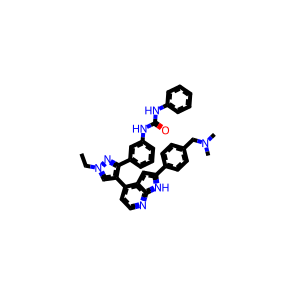 CCn1cc(-c2ccnc3[nH]c(-c4ccc(CN(C)C)cc4)cc23)c(-c2cccc(NC(=O)Nc3ccccc3)c2)n1